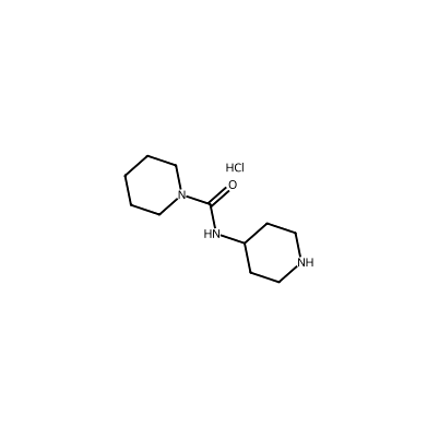 Cl.O=C(NC1CCNCC1)N1CCCCC1